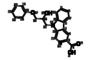 O=C(O)c1cc2c3ccccc3n(CC(O)COc3ccccc3)c2cn1